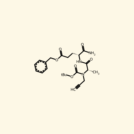 C#CCN(C(=O)OC(C)(C)C)[C@@H](C)C(=O)N[C@H](CCC(=O)OCc1ccccc1)C(N)=O